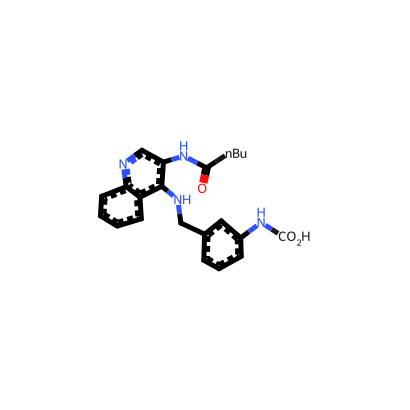 CCCCC(=O)Nc1cnc2ccccc2c1NCc1cccc(NC(=O)O)c1